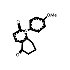 COc1ccc(-n2c3c(ccc2=O)C(=O)CCC3)cc1